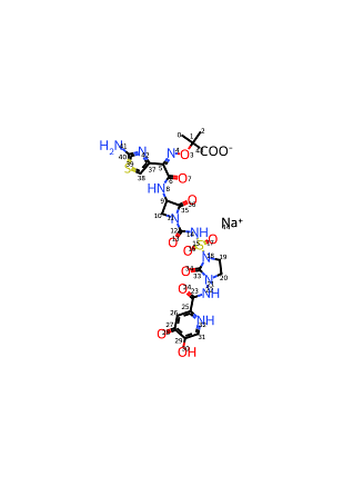 CC(C)(O/N=C(\C(=O)NC1CN(C(=O)NS(=O)(=O)N2CCN(NC(=O)c3cc(=O)c(O)c[nH]3)C2=O)C1=O)c1csc(N)n1)C(=O)[O-].[Na+]